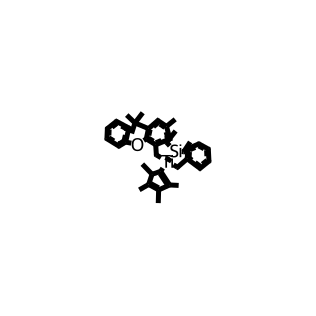 CC[Si](CC)=[Ti]([CH2]c1ccccc1)([CH2]c1cc(C)cc(C(C)(C)C)c1Oc1ccccc1)[C]1=C(C)C(C)=C(C)C1C